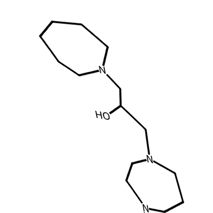 OC(CN1CCCCCC1)CN1CCCNCC1